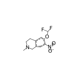 CN1CCc2cc(OC(F)F)c([N+](=O)[O-])cc2C1